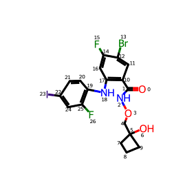 O=C(NOCC1(O)CCC1)c1cc(Br)c(F)cc1Nc1ccc(I)cc1F